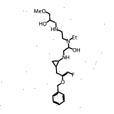 CCN(CCNCC(O)COC)C(O)CNC1CC1C/C(=C/F)OCc1ccccc1